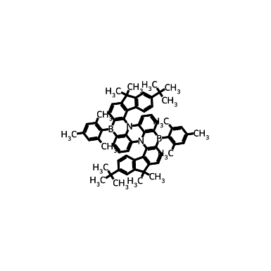 Cc1cc(C)c(B2c3cccc4c3N(c3cccc5c3N4c3c(ccc4c3-c3ccc(C(C)(C)C)cc3C4(C)C)B5c3c(C)cc(C)cc3C)c3c2ccc2c3-c3ccc(C(C)(C)C)cc3C2(C)C)c(C)c1